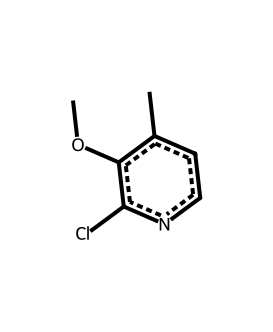 COc1c(C)ccnc1Cl